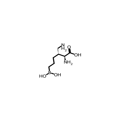 NC[C@@H](CCCB(O)O)[C@H](N)C(=O)O